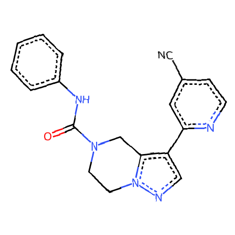 N#Cc1ccnc(-c2cnn3c2CN(C(=O)Nc2ccccc2)CC3)c1